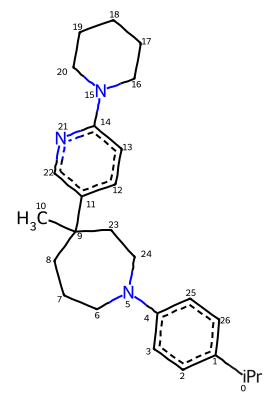 CC(C)c1ccc(N2CCCC(C)(c3ccc(N4CCCCC4)nc3)CC2)cc1